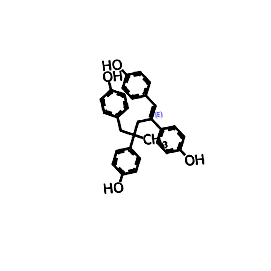 CC(C/C(=C\c1ccc(O)cc1)c1ccc(O)cc1)(Cc1ccc(O)cc1)c1ccc(O)cc1